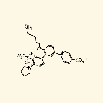 CS(C)(C)c1cc(-c2cc(-c3ccc(C(=O)O)cc3)ccc2OCCCCO)ccc1N1CCCC1